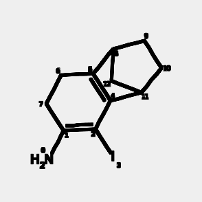 NC1=C(I)C2=C(CC1)C1CCC2C1